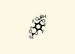 [2H]C(=O)Oc1c(F)c(F)c(S(=O)(=O)O)c(F)c1F